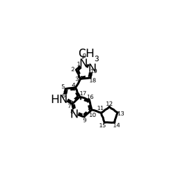 Cn1cc(-c2c[nH]c3ncc(C4CCCC4)cc23)cn1